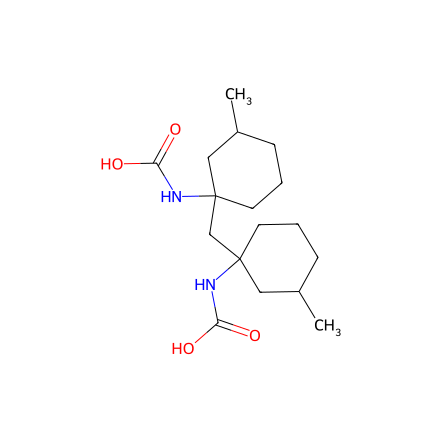 CC1CCCC(CC2(NC(=O)O)CCCC(C)C2)(NC(=O)O)C1